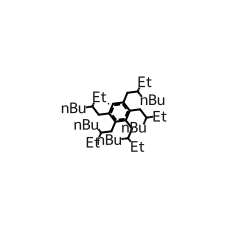 CCCCC(CC)Cc1[c]c(CC(CC)CCCC)c(CC(CC)CCCC)c(CC(CC)CCCC)c1CC(CC)CCCC